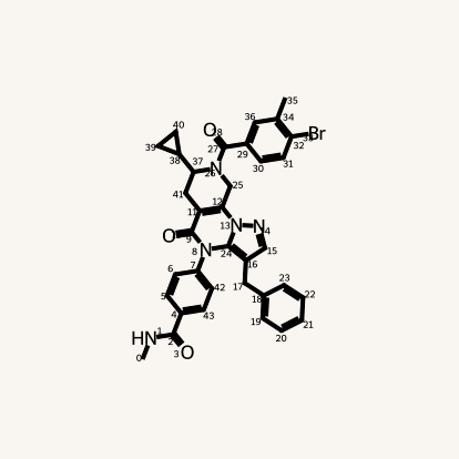 CNC(=O)c1ccc(-n2c(=O)c3c(n4ncc(Cc5ccccc5)c24)CN(C(=O)c2ccc(Br)c(C)c2)C(C2CC2)C3)cc1